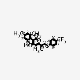 Cc1cc(C)c(-c2c(O)cc(C(C)CSc3ccc(C(F)(F)F)cc3)oc2=O)c(C)c1